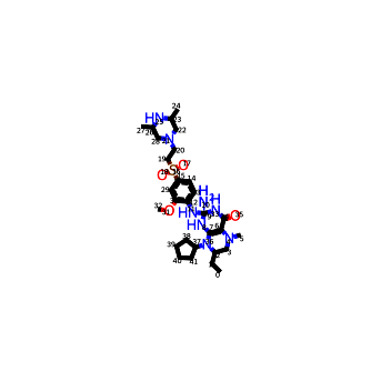 CCC1CN(C)C2=C(N[C@@](N)(Nc3ccc(S(=O)(=O)CCN4CC(C)NC(C)C4)cc3OC)NC2=O)N1C1CCCC1